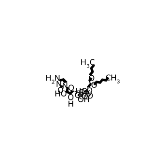 CCCCCOC[C@H](COP(=O)(O)OP(=O)(O)OC[C@H]1O[C@@H](n2ccc(N)nc2=O)[C@H](O)[C@@H]1O)OCCCCC